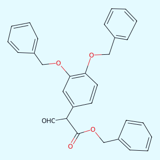 O=CC(C(=O)OCc1ccccc1)c1ccc(OCc2ccccc2)c(OCc2ccccc2)c1